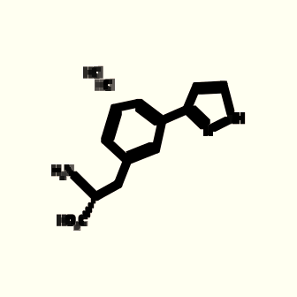 Cl.Cl.N[C@H](Cc1cccc(-c2cc[nH]n2)c1)C(=O)O